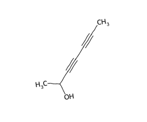 CC#CC#CC(C)O